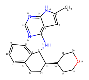 Cc1cc2c(N[C@H]3c4ccccc4CC[C@@H]3C3CCOCC3)ncnc2[nH]1